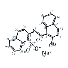 O=S(=O)([O-])c1c(N=Nc2c(O)ccc3ccccc23)ccc2ccccc12.[Na+]